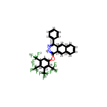 FC(F)(F)c1cc(Oc2nnc(-c3ccccc3)c3cc4ccccc4cc23)c(C(F)(F)F)c(C(F)(F)F)c1C(F)(F)F